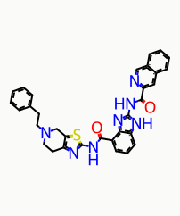 O=C(Nc1nc2c(C(=O)Nc3nc4c(s3)CN(CCc3ccccc3)CC4)cccc2[nH]1)c1cc2ccccc2cn1